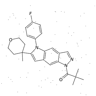 CC(C)(C)C(=O)n1ncc2cc3c(cc(C4(C)CCOCC4)n3-c3ccc(F)cc3)cc21